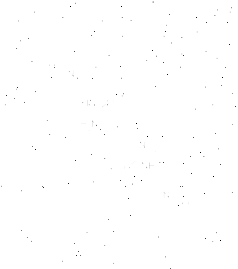 N[C@@H](CSSC[C@H](N)C(=O)NCCCN1CCOCC1)C(=O)NCCCN1CCOCC1